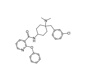 CN(C)C1(Cc2cccc(Cl)c2)CCC(NC(=O)c2cccnc2Oc2ccccc2)CC1